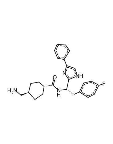 NC[C@H]1CC[C@H](C(=O)N[C@@H](Cc2ccc(F)cc2)c2nc(-c3ccccc3)c[nH]2)CC1